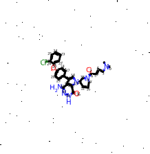 CN(C)C/C=C/C(=O)N1CCC[C@@H](n2cc(-c3ccc(Oc4ccccc4Cl)cc3)c3c(N)n[nH]c(=O)c32)C1